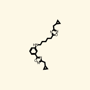 c1cc(NCCCCCc2nc(CC3CC3)no2)cc(-c2nc(CC3CC3)no2)c1